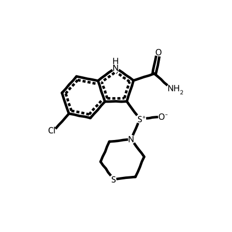 NC(=O)c1[nH]c2ccc(Cl)cc2c1[S+]([O-])N1CCSCC1